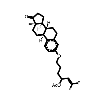 CC(=O)OC(C=C(F)F)CCCOc1ccc2c(c1)CC[C@@H]1[C@@H]2CC[C@]2(C)C(=O)CC[C@@H]12